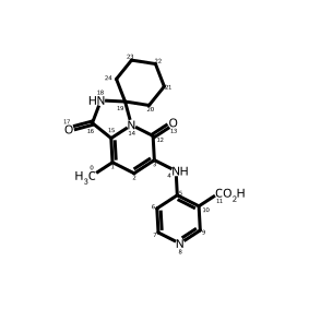 Cc1cc(Nc2ccncc2C(=O)O)c(=O)n2c1C(=O)NC21CCCCC1